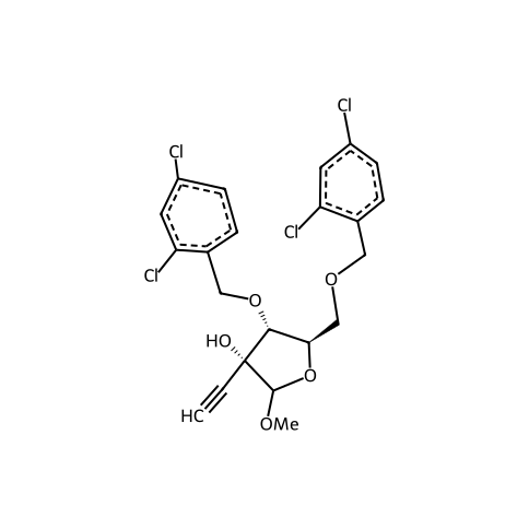 C#C[C@]1(O)C(OC)O[C@H](COCc2ccc(Cl)cc2Cl)[C@H]1OCc1ccc(Cl)cc1Cl